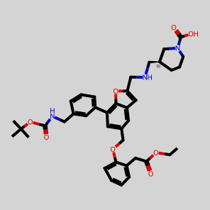 CCOC(=O)Cc1ccccc1OCc1cc(-c2cccc(CNC(=O)OC(C)(C)C)c2)c2oc(CNC[C@@H]3CCCN(C(=O)O)C3)cc2c1